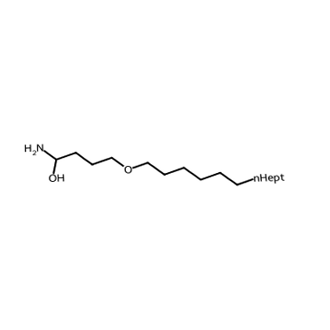 CCCCCCCCCCCCCOCCCC(N)O